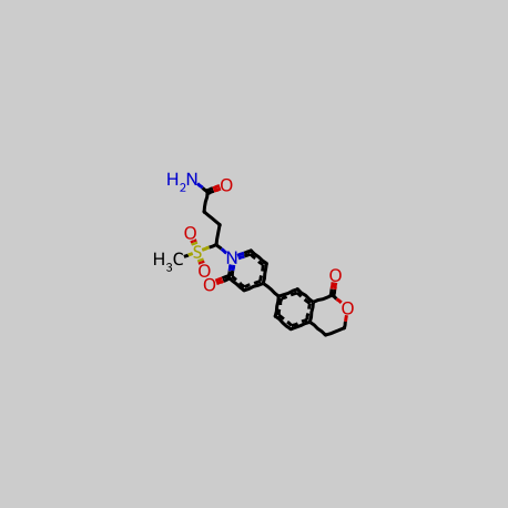 CS(=O)(=O)C(CCC(N)=O)n1ccc(-c2ccc3c(c2)C(=O)OCC3)cc1=O